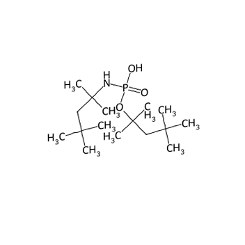 CC(C)(C)CC(C)(C)NP(=O)(O)OC(C)(C)CC(C)(C)C